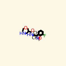 CC(C)(NC(=O)C1CNCCOC1)c1noc2c(F)cccc12